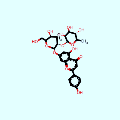 CC1O[C@@H](O[C@H]2C(C)[C@H](O)C(CO)O[C@H]2Oc2cc(O)c3c(=O)cc(-c4ccc(O)cc4)oc3c2)[C@@H](O)C(O)[C@@H]1O